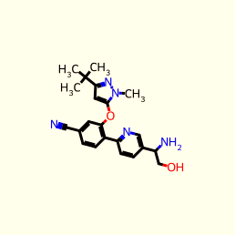 Cn1nc(C(C)(C)C)cc1Oc1cc(C#N)ccc1-c1ccc(C(N)CO)cn1